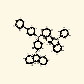 c1ccc(-c2ccc(N(c3ccc(-n4c5ccccc5c5ccccc54)cc3)c3cccc4c3oc3c5ccccc5n(-c5ccccc5)c43)cc2)cc1